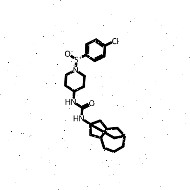 O=C(NC1CCN([S+]([O-])c2ccc(Cl)cc2)CC1)NC12CC3CCCC(C1)C(C3)C2